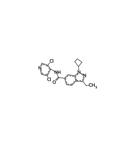 CCc1nn(C2CCC2)c2cc(C(=O)Nc3c(Cl)cncc3Cl)ccc12